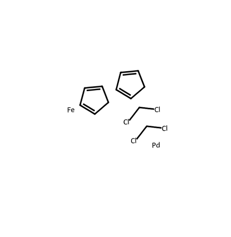 C1=CCC=C1.C1=CCC=C1.ClCCl.ClCCl.[Fe].[Pd]